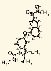 CNC(=O)c1c(C)n(C)c2cc(Oc3ccnc4cc(C(=O)N(C)C)sc34)ccc12